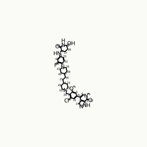 COc1cc(-c2cn(C)c(=O)c3[nH]ncc23)cc(Cl)c1CN1CCC(CCC2CCN(c3ccc(NC4CCC(O)NC4=O)cc3F)CC2)CC1